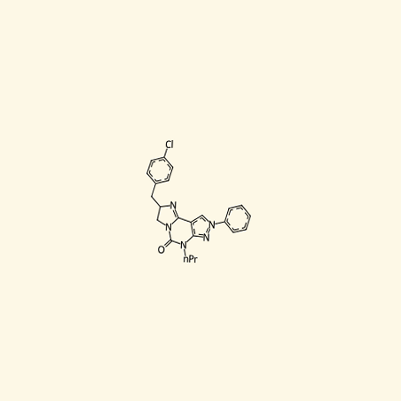 CCCN1C(=O)N2CC(Cc3ccc(Cl)cc3)N=C2c2cn(-c3ccccc3)nc21